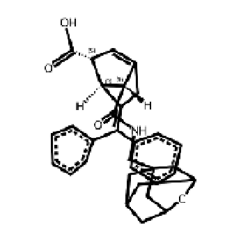 O=C(NCC12CC3CC(CC(C3)C1)C2)[C@H]1C2=C[C@@H](C(=O)O)[C@@H]1C(=C(c1ccccc1)c1ccccc1)C2